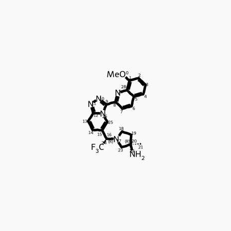 COc1cccc2ccc(-c3nnc4ccc([C@@H](N5CC[C@@](C)(N)C5)C(F)(F)F)cn34)nc12